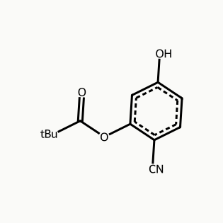 CC(C)(C)C(=O)Oc1cc(O)ccc1C#N